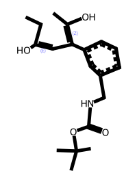 CC/C(O)=C\C(=C(/C)O)c1cccc(CNC(=O)OC(C)(C)C)c1